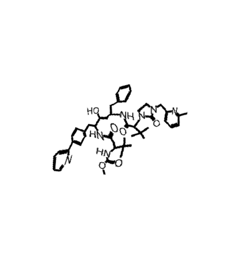 COC(=O)NC(C(=O)NC(Cc1ccc(-c2ccccn2)cc1)C(O)CC(Cc1ccccc1)NC(=O)C(N1CCN(Cc2cccc(C)n2)C1=O)C(C)(C)C)C(C)(C)C